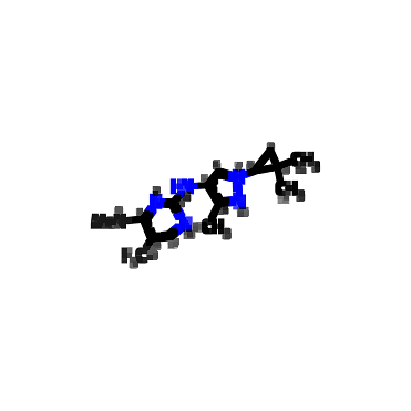 CNc1nc(Nc2cn(C3CC3(C)C)nc2C)ncc1C(F)(F)F